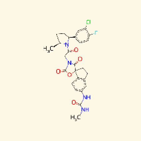 CNC(=O)Nc1ccc2c(c1)CCC21OC(=O)N(CC(=O)N2[C@@H](C)CC[C@H]2c2ccc(F)c(Cl)c2)C1=O